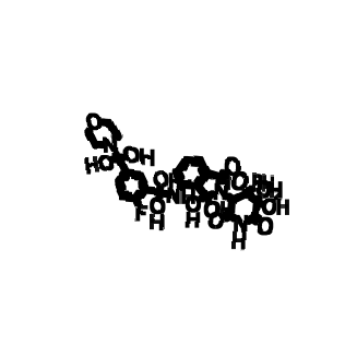 BC1(O)C(N2C(=O)c3cccc(NC(O)(O)c4cc(C(O)(O)N5CCOCC5)ccc4F)c3C2(O)O)C(=O)NC(=O)C1(O)O